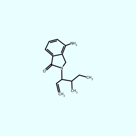 C=CC(C(C)CC)N1Cc2c(N)cccc2C1=O